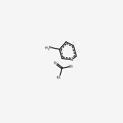 CCC(=O)CC.Nc1cccnc1